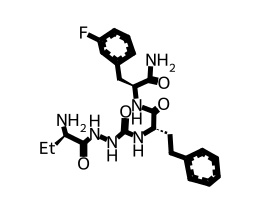 CC[C@@H](N)C(=O)NNC(=O)N[C@@H](CCc1ccccc1)C(=O)N[C@@H](Cc1cccc(F)c1)C(N)=O